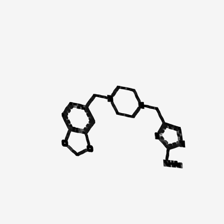 CC(=O)Nc1ncc(CN2CCN(Cc3ccc4c(c3)OCO4)CC2)s1